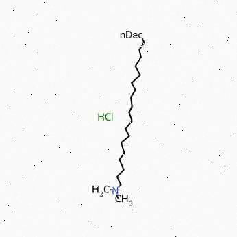 CCCCCCCCCCCCCCCCCCCCCCCCCCCCCN(C)C.Cl